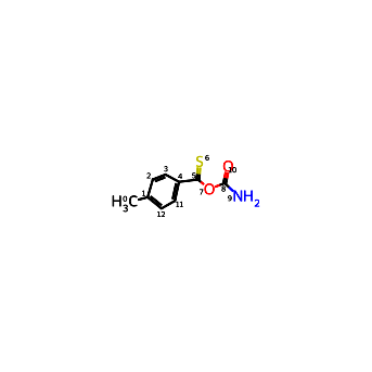 Cc1ccc(C(=S)OC(N)=O)cc1